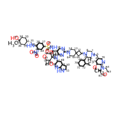 COc1cc(CN2CCN(C3CC4(CCN(c5ncc(C(=O)NS(=O)(=O)c6ccc(NC[C@H]7CC[C@](C)(O)CC7)c([N+](=O)[O-])c6)c(N6c7cc8cc[nH]c8nc7O[C@H]7COCC[C@@H]76)n5)CC4)C3)[C@H](c3ccccc3C)C2)cnc1N1CCOCC1